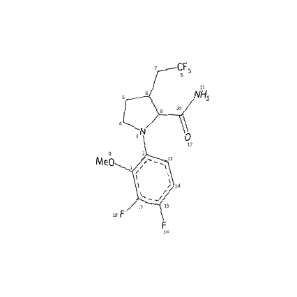 COc1c(N2CCC(CC(F)(F)F)C2C(N)=O)ccc(F)c1F